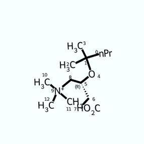 CCCC(C)(C)O[C@H](CC(=O)O)C[N+](C)(C)C